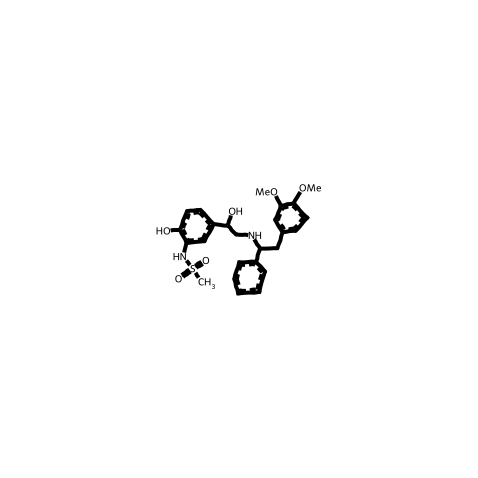 COc1ccc(CC(NCC(O)c2ccc(O)c(NS(C)(=O)=O)c2)c2ccccc2)cc1OC